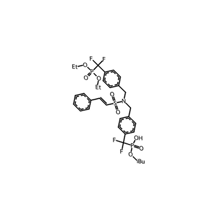 CCOP(=O)(OCC)C(F)(F)c1ccc(CN(Cc2ccc(C(F)(F)P(=O)(O)OC(C)CC)cc2)S(=O)(=O)C=Cc2ccccc2)cc1